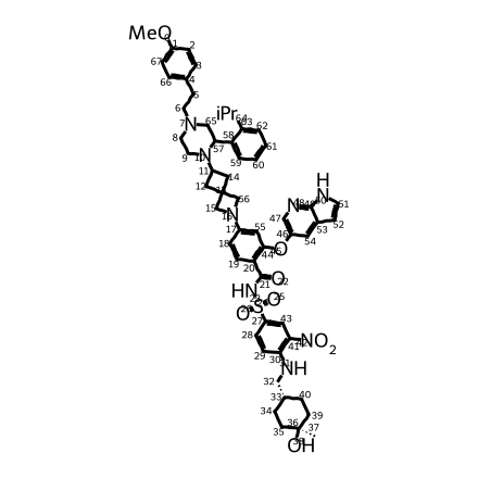 COc1ccc(CCN2CCN(C3CC4(C3)CN(c3ccc(C(=O)NS(=O)(=O)c5ccc(NC[C@H]6CC[C@](C)(O)CC6)c([N+](=O)[O-])c5)c(Oc5cnc6[nH]ccc6c5)c3)C4)C(c3ccccc3C(C)C)C2)cc1